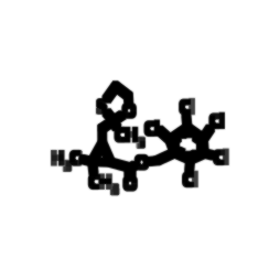 CC1(CC2C(C(=O)OCc3c(Cl)c(Cl)c(Cl)c(Cl)c3Cl)C2(C)C)OCCS1